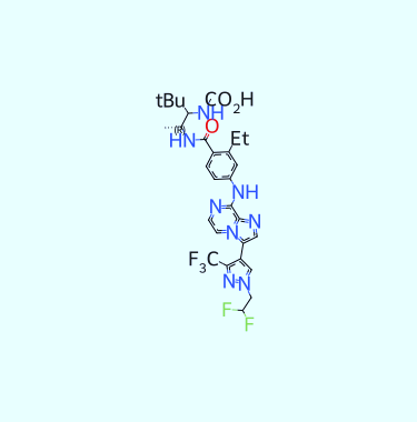 CCc1cc(Nc2nccn3c(-c4cn(CC(F)F)nc4C(F)(F)F)cnc23)ccc1C(=O)N[C@H](C)C(NC(=O)O)C(C)(C)C